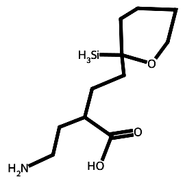 NCCC(CCC1([SiH3])CCCCO1)C(=O)O